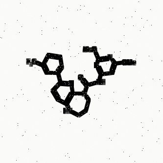 COc1cc(NC(=O)N2CCCNc3ccc(-c4cccc(C(F)(F)F)c4)nc32)nc(OC)n1